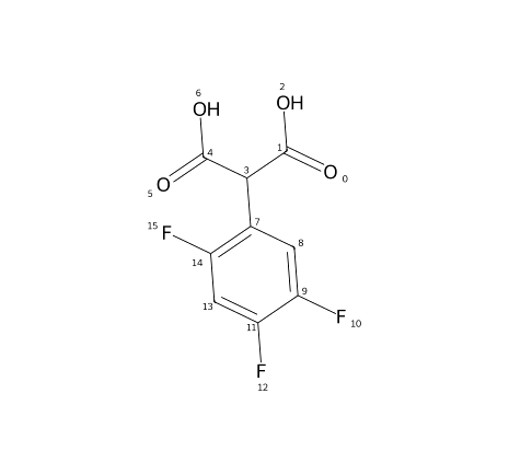 O=C(O)C(C(=O)O)c1cc(F)c(F)cc1F